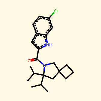 CC(C)C1(C(C)C)CC2(CCC2)CN1C(=O)c1cc2ccc(Cl)cc2[nH]1